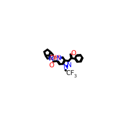 CC(C)C1(O)C2CCC1CN(C(=O)c1cc3c(cn1)c(-c1coc4ccccc14)nn3CC(F)(F)F)C2